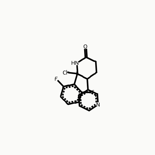 O=C1CCC(c2cccnc2)C(Cl)(c2c(F)cccc2F)N1